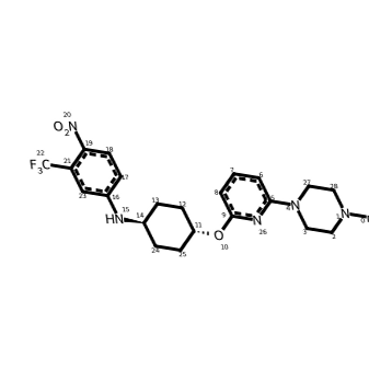 CCCN1CCN(c2cccc(O[C@H]3CC[C@H](Nc4ccc([N+](=O)[O-])c(C(F)(F)F)c4)CC3)n2)CC1